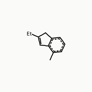 CCC1=Cc2c(C)cccc2C1